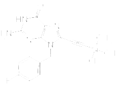 C[Si](C)(C)C#Cc1nc2c(=O)[nH]c(N)nc2n1Cc1ccc(F)cc1